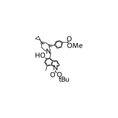 COC(=O)c1ccc([C@@H]2C[C@H](C3CC3)CCN2Cc2c(O)cc(C)c3c2ccn3C(=O)OC(C)(C)C)cc1